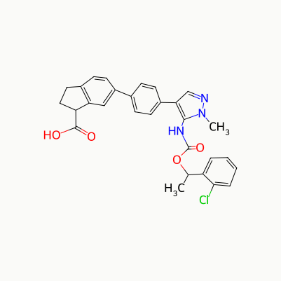 CC(OC(=O)Nc1c(-c2ccc(-c3ccc4c(c3)C(C(=O)O)CC4)cc2)cnn1C)c1ccccc1Cl